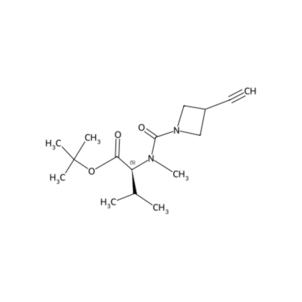 C#CC1CN(C(=O)N(C)[C@H](C(=O)OC(C)(C)C)C(C)C)C1